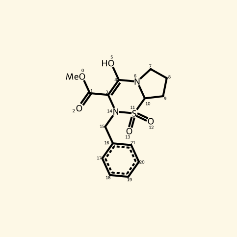 COC(=O)C1=C(O)N2CCCC2S(=O)(=O)N1Cc1ccccc1